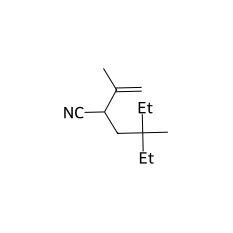 C=C(C)C(C#N)CC(C)(CC)CC